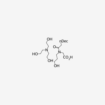 CCCCCCCCCCCC(=O)N(CCCO)CC(=O)O.OCCN(CCO)CCO